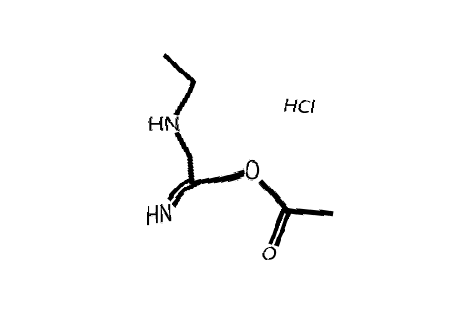 CCNC(=N)OC(C)=O.Cl